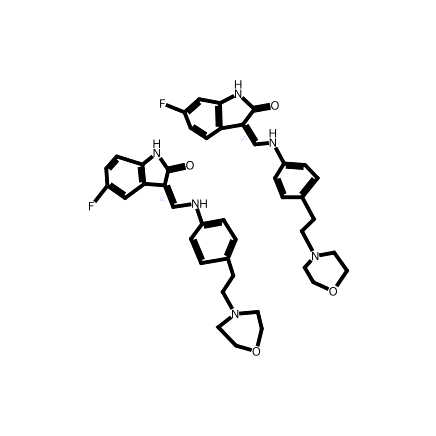 O=C1Nc2cc(F)ccc2/C1=C/Nc1ccc(CCN2CCOCC2)cc1.O=C1Nc2ccc(F)cc2/C1=C/Nc1ccc(CCN2CCOCC2)cc1